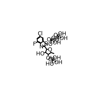 CC1OC(c2nc3c(F)cc(Cl)cc3s2)C(O)C1O.O=P(O)(O)O.O=P(O)(O)O.O=P(O)(O)O